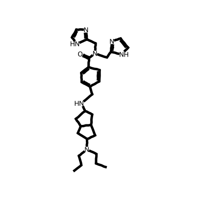 CCCN(CCC)C1CC2CC(NCc3ccc(C(=O)N(Cc4ncc[nH]4)Cc4ncc[nH]4)cc3)CC2C1